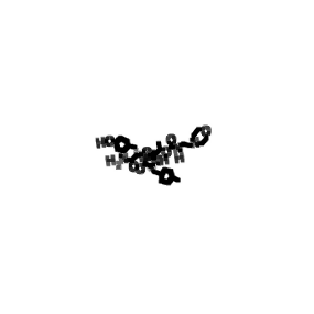 Cc1ccc(C[C@H](NC(=O)C(C)OC(=O)NCCN2CCOCC2)C(=O)N[C@@H](Cc2ccc(O)cc2)C(N)=O)cc1